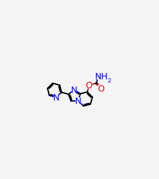 NC(=O)Oc1cccn2cc(-c3ccccn3)nc12